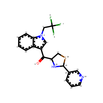 O=C(c1cn(CC(F)(F)F)c2ccccc12)C1CSC(c2cccnc2)N1